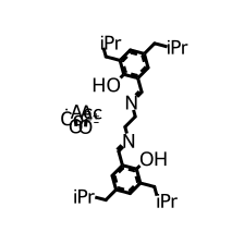 CC(=O)[O-].CC(=O)[O-].CC(C)Cc1cc(C=NCCN=Cc2cc(CC(C)C)cc(CC(C)C)c2O)c(O)c(CC(C)C)c1.[Co+2]